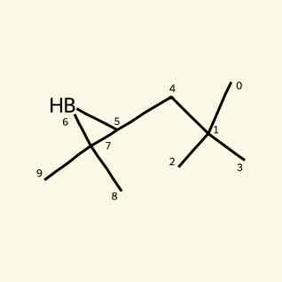 CC(C)(C)CC1BC1(C)C